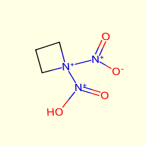 O=[N+]([O-])[N+]1([N+](=O)O)CCC1